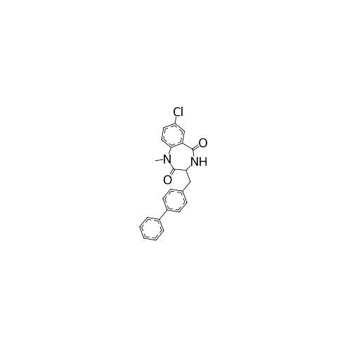 CN1C(=O)C(Cc2ccc(-c3ccccc3)cc2)NC(=O)c2cc(Cl)ccc21